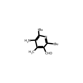 Cc1c(N)c(C(C)(C)C)nc(C(C)(C)C)c1C=O